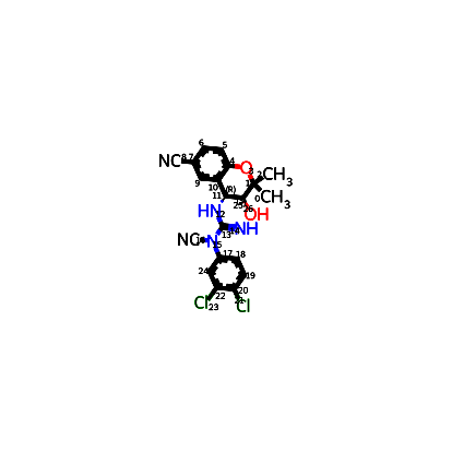 CC1(C)Oc2ccc(C#N)cc2[C@@H](NC(=N)N(C#N)c2ccc(Cl)c(Cl)c2)[C@@H]1O